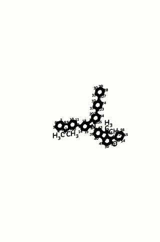 CC1(C)c2ccccc2-c2ccc(-c3ccc4c(c3)c3cc(-c5ccc(-c6ccccc6)cc5)ccc3n4-c3ccc4c(c3)C(C)(C)c3c-4ccc4oc5ccccc5c34)cc21